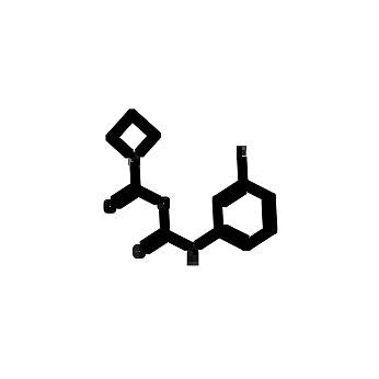 O=C(Nc1cccc(F)c1)OC(=O)N1CCC1